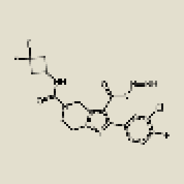 N=NNC(=O)c1c(-c2ccc(F)c(Cl)c2)nn2c1CN(C(=O)NC1CC(F)(F)C1)CC2